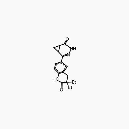 CCC1(CC)Cc2cc(C3=NNC(=O)C4CC34)ccc2NC1=O